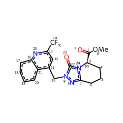 COC(=O)[C@H]1CCCc2nn(Cc3cc(C(F)(F)F)nc4ccccc34)c(=O)n21